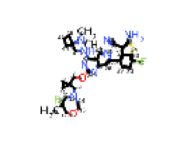 CN(C)C1(CNc2nc(OCC3(CN4CCOCC(C)(F)C4)CC3)nc3cc(-c4ccc(F)c5sc(N)c(C#N)c45)ncc23)CCC1